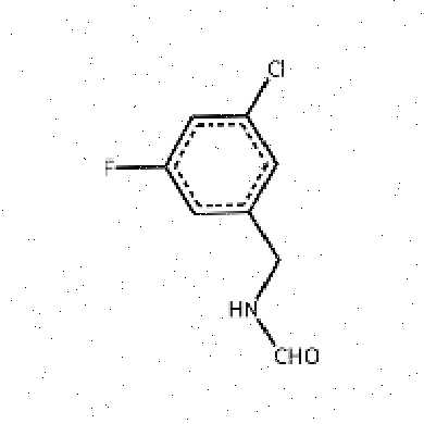 O=CNCc1cc(F)cc(Cl)c1